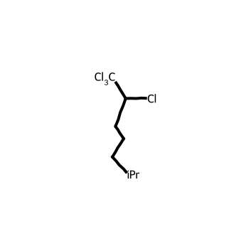 CC(C)CCCC(Cl)C(Cl)(Cl)Cl